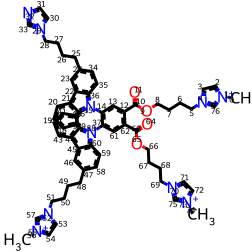 C[n+]1ccn(CCCCOC(=O)c2cc(-n3c4ccccc4c4cc(CCCCn5ccnc5)ccc43)c(-n3c4ccccc4c4cc(CCCCn5cc[n+](C)c5)ccc43)cc2C(=O)OCCCCn2cc[n+](C)c2)c1